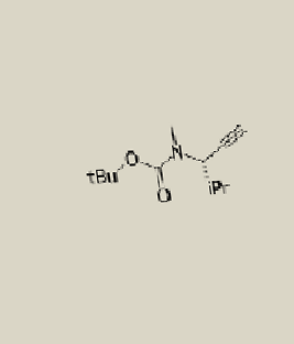 C#C[C@H](C(C)C)N(C)C(=O)OC(C)(C)C